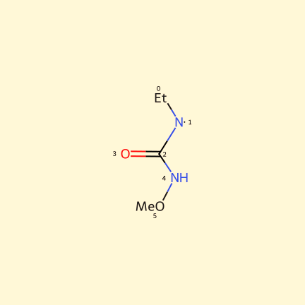 CC[N]C(=O)NOC